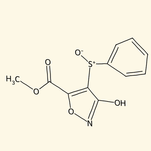 COC(=O)c1onc(O)c1[S+]([O-])c1ccccc1